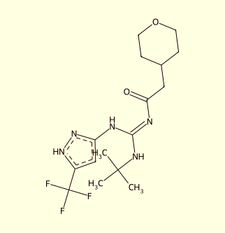 CC(C)(C)N/C(=N/C(=O)CC1CCOCC1)Nc1cc(C(F)(F)F)[nH]n1